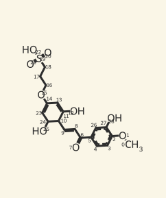 COc1ccc(C(=O)C=CC2C(O)=CC(OCCCS(=O)(=O)O)=CC2O)cc1O